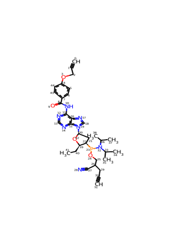 C#CCOc1ccc(C(=O)Nc2ncnc3c2ncn3[C@H]2C[C@@H](P(OCC(C#N)CC#C)N(C(C)C)C(C)C)[C@@H](CC)O2)cc1